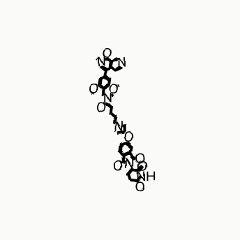 COc1cc(-c2cn(C)c(=O)c3cnccc23)cc(OC)c1CN(C)C(=O)CCCCN1CC(Oc2ccc3c(c2)C(=O)N(C2CCC(=O)NC2=O)C3=O)C1